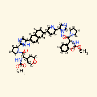 COC(=O)N[C@H](C(=O)N1CCC[C@H]1c1ncc(-c2ccc3cc(-c4ccc(-c5cnc([C@@H]6CCCN6C(=O)[C@H](NC(=O)OC)c6ccccc6)[nH]5)nc4)ccc3c2)[nH]1)C1CCOCC1